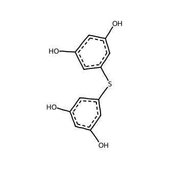 Oc1cc(O)cc(Sc2cc(O)cc(O)c2)c1